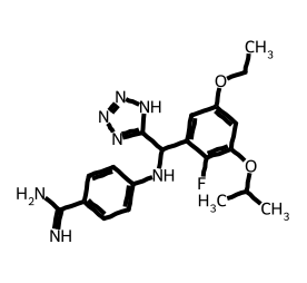 CCOc1cc(OC(C)C)c(F)c(C(Nc2ccc(C(=N)N)cc2)c2nnn[nH]2)c1